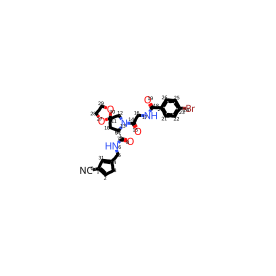 N#CC1=CCC(CNC(=O)[C@@H]2CC3(CN2C(=O)CNC(=O)c2ccc(Br)cc2)OCCO3)=C1